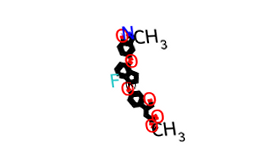 COC(=O)CC1COc2cc(O[C@@H]3CCc4c(Oc5ccc6onc(C)c6c5)ccc(F)c43)ccc21